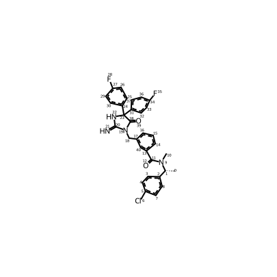 C[C@H](c1ccc(Cl)cc1)N(C)C(=O)c1cccc(CN2C(=N)NC(c3ccc(F)cc3)(c3ccc(F)cc3)C2=O)c1